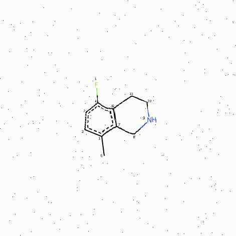 Cc1ccc(F)c2c1CNCC2